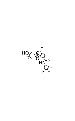 CC1(C)CCN(S(=O)(=O)c2cc(C(=O)Nc3cc(F)c(F)c(F)c3)ccc2CF)CCC1O